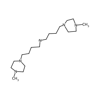 CN1CCN(CCCC[N]CCCCN2CCN(C)CC2)CC1